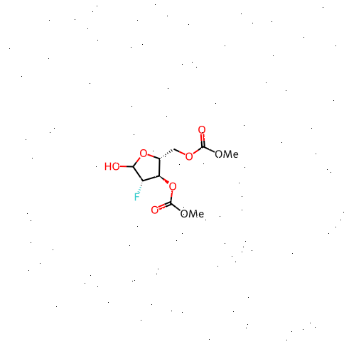 COC(=O)OC[C@H]1OC(O)[C@@H](F)[C@@H]1OC(=O)OC